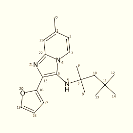 Cc1ccn2c(NC(C)(C)CC(C)(C)C)c(-c3ccco3)nc2c1